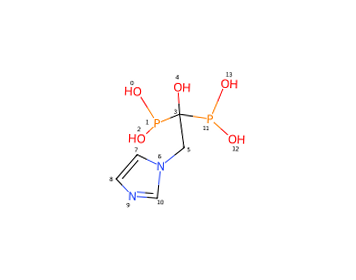 OP(O)C(O)(Cn1ccnc1)P(O)O